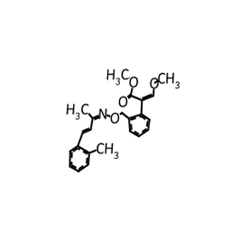 COC=C(C(=O)OC)c1ccccc1CON=C(C)C=Cc1ccccc1C